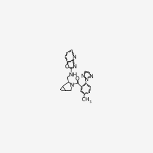 Cc1ccc(-n2nccn2)c(C(=O)N2CC3CC3C2CNc2nc3ncccc3o2)c1